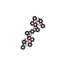 Cc1ccc2c(oc3ccccc32)c1N(c1ccc2c(c1)c1cccc3c4cc5c(cc4n2c13)c1cccc2c3cc(N(c4ccccc4-c4ccccc4)c4c(C)ccc6c4oc4ccccc46)ccc3n5c21)c1ccccc1-c1ccccc1